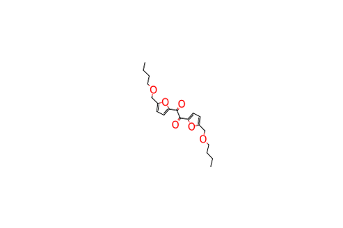 CCCCOCc1ccc(C(=O)C(=O)c2ccc(COCCCC)o2)o1